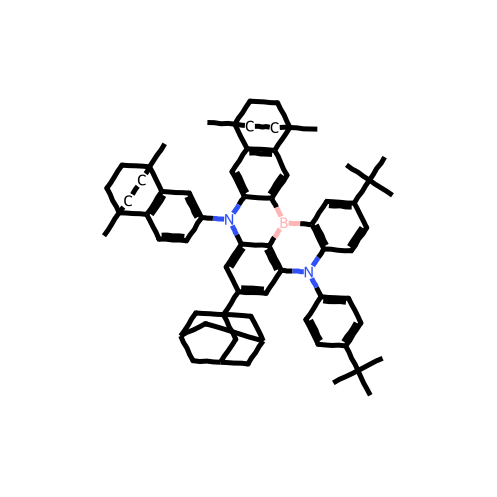 CC(C)(C)c1ccc(N2c3ccc(C(C)(C)C)cc3B3c4cc5c(cc4N(c4ccc6c(c4)C4(C)CCC6(C)CC4)c4cc(C67CC8CC(CC(C8)C6)C7)cc2c43)C2(C)CCC5(C)CC2)cc1